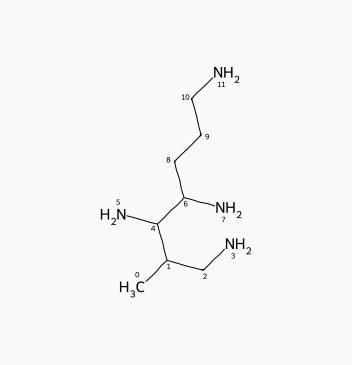 CC(CN)C(N)C(N)CCCN